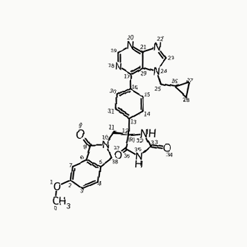 COc1ccc2c(c1)C(=O)N(C[C@@]1(c3ccc(-c4ncnc5ncn(CC6CC6)c45)cc3)NC(=O)NC1=O)C2